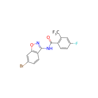 O=C(Nc1noc2cc(Br)ccc12)c1ccc(F)cc1C(F)(F)F